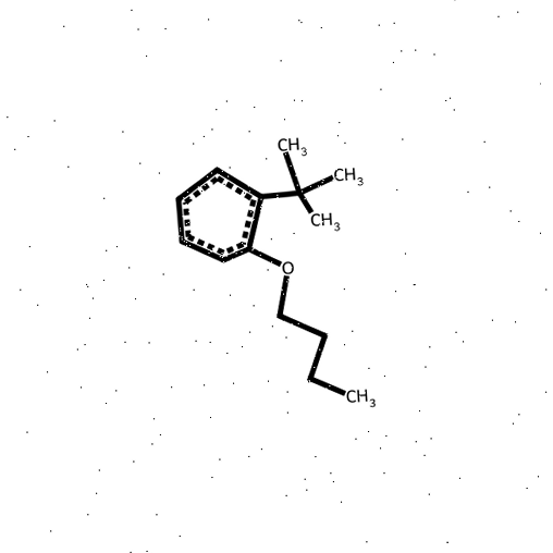 CCCCOc1[c]cccc1C(C)(C)C